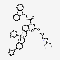 CCN(CC)/N=N/OCOC(=O)CN(C(=O)OCC1c2ccccc2-c2ccccc21)c1cccc(CN(Cc2ccc(-n3cccn3)cc2)S(=O)(=O)c2cccnc2)n1